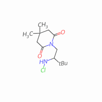 CC1(C)CC(=O)N(CC(NCl)C(C)(C)C)C(=O)C1